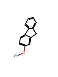 CCOc1ccc2c(c1)Cc1ccccc1-2